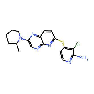 CC1CCCCN1c1cnc2nc(Sc3ccnc(N)c3Cl)ccc2n1